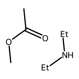 CCNCC.COC(C)=O